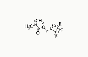 C=C(C)C(=O)OCC1OC(F)(F)C1F